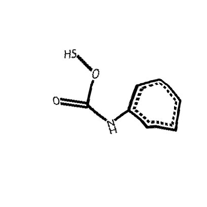 O=C(Nc1ccccc1)OS